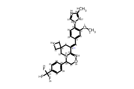 COc1cc(/C=C2\CC3(CSC3)CN3C2=NOCC3c2ccc(C(F)(F)F)cc2)ccc1-n1cnc(C)n1